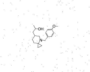 COc1ccc(CN2CC(CC(C)O)CCC23CC3)cc1